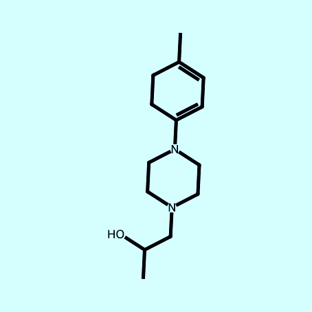 CC1=CC=C(N2CCN(CC(C)O)CC2)CC1